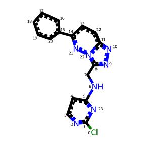 Clc1nccc(NCc2nnc3ccc(-c4ccccc4)nn23)n1